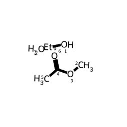 CCO.COC(C)=O.O